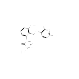 Cc1ccc(OCc2c(C)cccc2-n2nnn(C)c2=O)c(C)n1